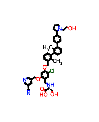 Cc1c(COc2cc(OCc3cncc(C#N)c3)c(CN[C@@H](CO)C(=O)O)cc2Cl)cccc1-c1cccc(-c2ccc(C3CCCN3CCO)cc2)c1C